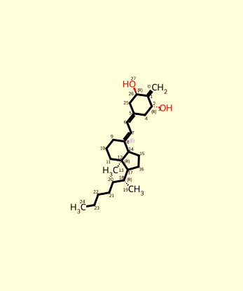 C=C1[C@H](O)CC(=C/C=C2\CCC[C@@]3(C)C2CCC3[C@H](C)CCCCC)C[C@H]1O